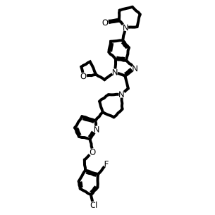 O=C1CCCCN1c1ccc2c(c1)nc(CN1CCC(c3cccc(OCc4ccc(Cl)cc4F)n3)CC1)n2CC1CCO1